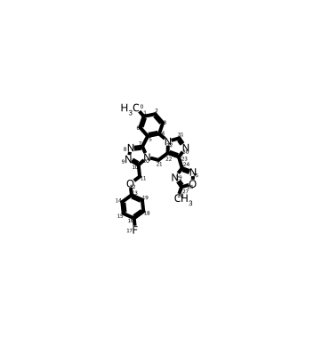 Cc1ccc2c(c1)-c1nnc(COc3ccc(F)cc3)n1Cc1c(-c3noc(C)n3)ncn1-2